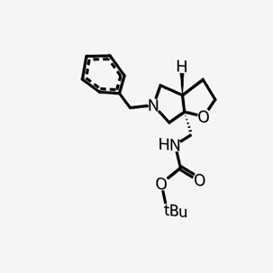 CC(C)(C)OC(=O)NC[C@]12CN(Cc3ccccc3)C[C@@H]1CCO2